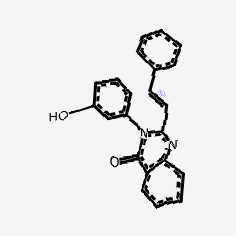 O=c1c2ccccc2nc(/C=C/c2ccccc2)n1-c1cccc(O)c1